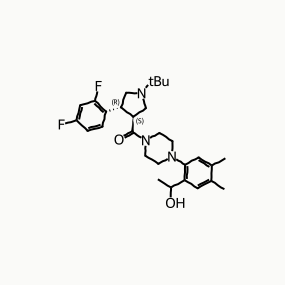 Cc1cc(C(C)O)c(N2CCN(C(=O)[C@@H]3CN(C(C)(C)C)C[C@H]3c3ccc(F)cc3F)CC2)cc1C